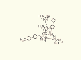 Cc1ccc(-c2ccc(C[C@H](N)C(=O)N[C@@H](CCCNC(=N)N)C(=O)N[C@@H](Cc3ccc(-c4ccccc4)cc3)C(=O)N[C@@H](CCCNC(=N)N)C(N)=O)cc2)cc1